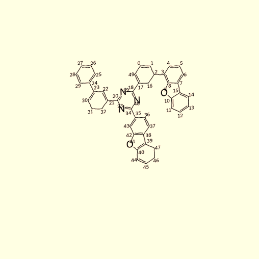 C1=CC(c2cccc3c2oc2ccccc23)CC(c2nc(C3=CC(c4ccccc4)=CCC3)nc(-c3ccc4c5c(oc4c3)C=CCC5)n2)=C1